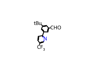 CC(C)(C)c1cc(C=O)cc(-c2ccc(C(F)(F)F)cn2)c1